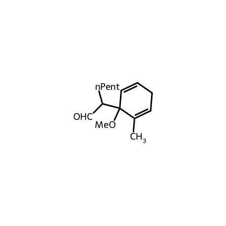 CCCCCC(C=O)C1(OC)C=CCC=C1C